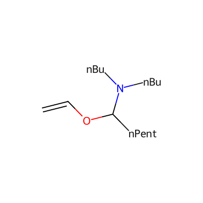 C=COC(CCCCC)N(CCCC)CCCC